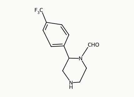 O=CN1CCNCC1c1ccc(C(F)(F)F)cc1